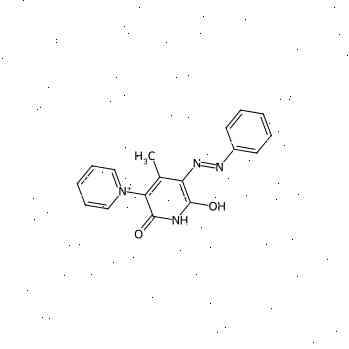 Cc1c(N=Nc2ccccc2)c(O)[nH]c(=O)c1-[n+]1ccccc1